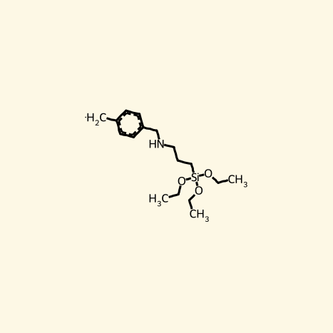 [CH2]c1ccc(CNCCC[Si](OCC)(OCC)OCC)cc1